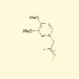 COc1ccc(C/C(C)=C/F)cc1OC